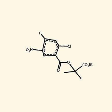 CCOC(=O)C(C)(C)OC(=O)c1cc([N+](=O)[O-])c(F)cc1Cl